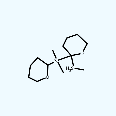 C[SiH2]C1([Si](C)(C)C2CCCCO2)CCCCO1